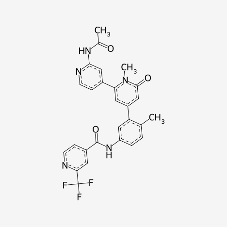 CC(=O)Nc1cc(-c2cc(-c3cc(NC(=O)c4ccnc(C(F)(F)F)c4)ccc3C)cc(=O)n2C)ccn1